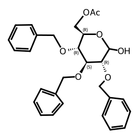 CC(=O)OC[C@H]1OC(O)[C@H](OCc2ccccc2)[C@@H](OCc2ccccc2)[C@@H]1OCc1ccccc1